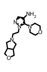 Nc1cnn(CCN2CC3COCC3C2)c1N1CCOCC1